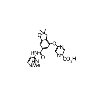 CN/C=C\C(=N)NC(=O)c1cc(Oc2cnc(C(=O)O)cn2)c2c(c1)OC(C)(C)C2